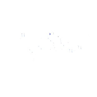 CC(C)C[C@@H](NC(=O)[C@@H](Cc1ccccc1)NC(=O)[C@H](N)Cc1ccccc1)C(=O)N[C@H](CCCCN)C(=O)N1CCNC(=O)C1